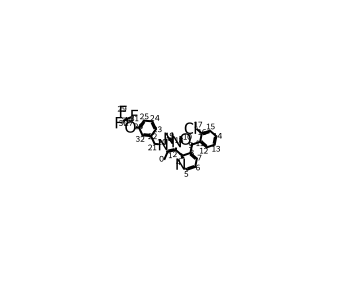 Cc1c(-c2ncccc2C(=O)c2ccccc2Cl)nnn1Cc1cccc(OC(F)(F)F)c1